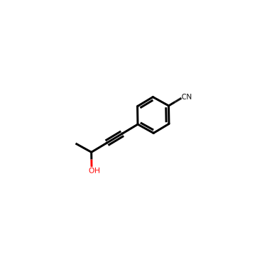 CC(O)C#Cc1ccc(C#N)cc1